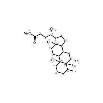 CC[C@H]1CC2C3CCC([C@H](C)CCC(=O)OC)[C@@]3(C)CCC2[C@@]2(C)CCC[C@H](F)[C@@H]12